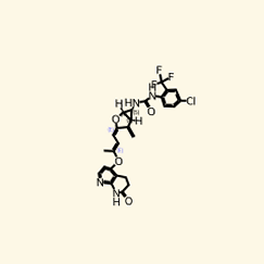 C=C1/C(=C\C=C(/C)Oc2ccnc3c2CCC(=O)N3)O[C@@H]2[C@@H](NC(=O)Nc3ccc(Cl)cc3C(F)(F)F)[C@H]12